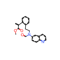 C=C(C(=O)OC)c1ccccc1CCN(C=O)c1ccc2ncccc2c1